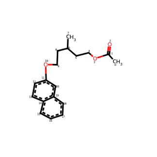 CC(=O)OCCC(C)CCOc1ccc2ccccc2c1